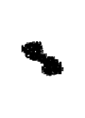 CC1(C)c2cncc3c2B2c4c1cncc4C(C)(C)c1c(-c4ccc(-c5ccc6c7c5Oc5ncnc8c5B7c5c(ncnc5O8)O6)cc4)ccc(c12)O3